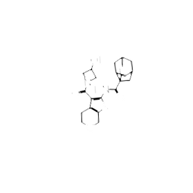 O=C(c1c(NC(=O)C23CC4CC(CC2C4)C3)sc2c1CCOC2)N1CC(O)C1